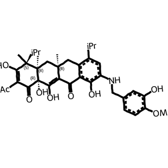 COc1ccc(CNc2cc(C(C)C)c3c(c2O)C(=O)C2=C(O)[C@@]4(O)C(=O)C(C(C)=O)=C(O)[C@@](C)(C(C)C)[C@@]4(C)C[C@@]2(C)C3)cc1O